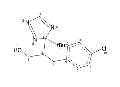 CC(C)(C)C1(C(CO)Cc2ccc(Cl)cc2)N=CN=N1